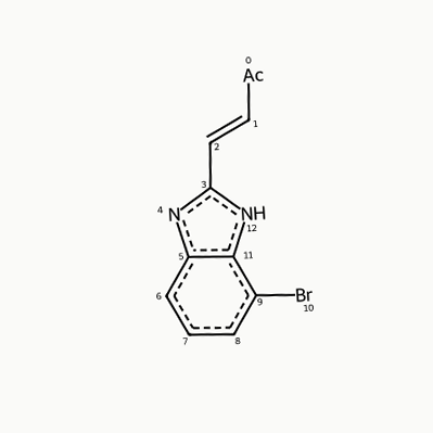 CC(=O)/C=C/c1nc2cccc(Br)c2[nH]1